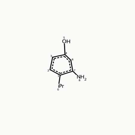 CC(C)c1ccc(O)cc1N